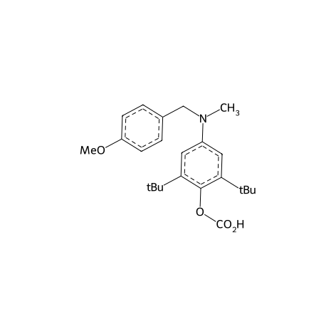 COc1ccc(CN(C)c2cc(C(C)(C)C)c(OC(=O)O)c(C(C)(C)C)c2)cc1